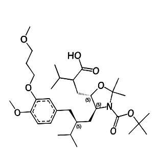 COCCCOc1cc(C[C@@H](C[C@H]2[C@H](CC(C(=O)O)C(C)C)OC(C)(C)N2C(=O)OC(C)(C)C)C(C)C)ccc1OC